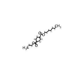 CCCCCCCOC(=O)C1CCC(C(=O)OCCC)CC1